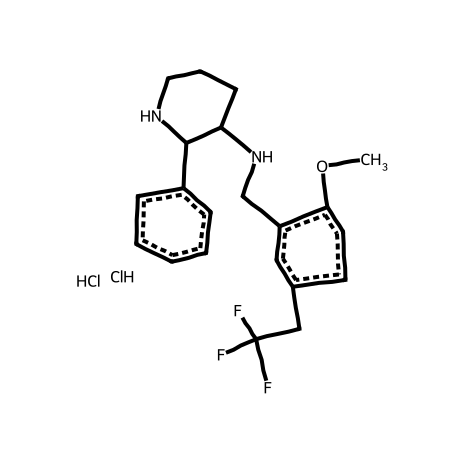 COc1ccc(CC(F)(F)F)cc1CNC1CCCNC1c1ccccc1.Cl.Cl